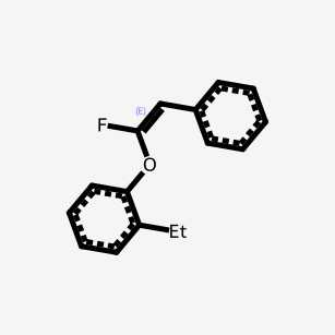 CCc1ccccc1O/C(F)=C\c1ccccc1